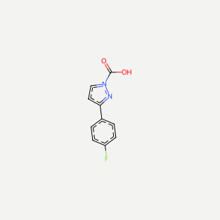 O=C(O)n1ccc(-c2ccc(F)cc2)n1